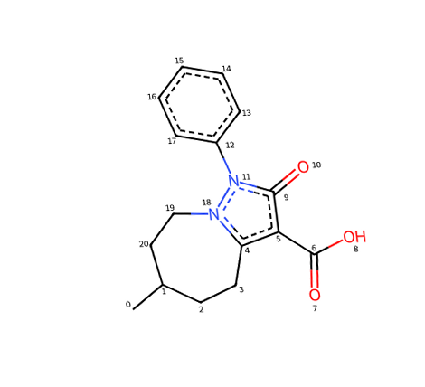 CC1CCc2c(C(=O)O)c(=O)n(-c3ccccc3)n2CC1